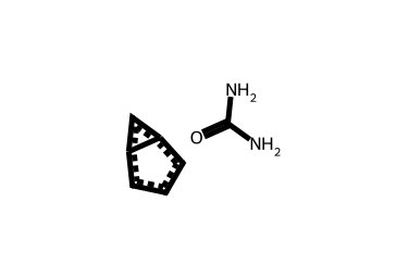 NC(N)=O.c1cc2cc-2c1